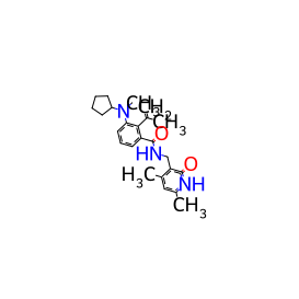 C=C(C)c1c(C(=O)NCc2c(C)cc(C)[nH]c2=O)cccc1N(C)C1CCCC1